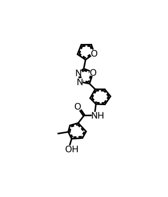 Cc1cc(C(=O)Nc2cccc(-c3nnc(-c4ccco4)o3)c2)ccc1O